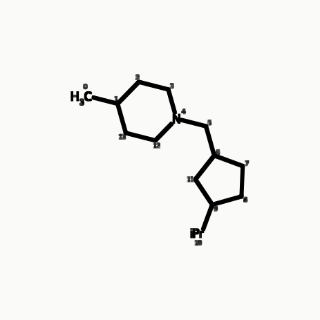 CC1CCN(CC2CCC(C(C)C)C2)CC1